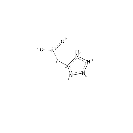 O=[N+]([O-])Cc1nnn[nH]1